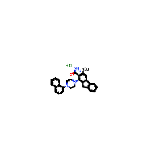 CCCCc1cc2c(c(N3CCN(c4cccc5ccccc45)CC3)c1C(N)=O)Cc1ccccc1-2.Cl